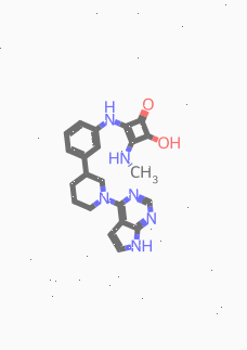 CNC1=C(Nc2cccc(C3CCCN(c4ncnc5[nH]ccc45)C3)c2)C(=O)C1O